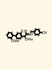 COc1ccccc1-c1ccc(C(OC)C(=O)NCc2ccc(C#N)cc2)c(F)c1